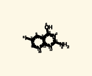 Nc1nc(O)c2cc(I)cnc2n1